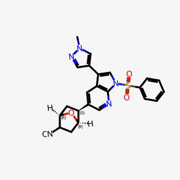 [C-]#[N+]C1C[C@H]2O[C@@H]1C[C@H]2c1cnc2c(c1)c(-c1cnn(C)c1)cn2S(=O)(=O)c1ccccc1